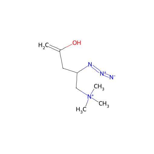 C=C(O)CC(C[N+](C)(C)C)N=[N+]=[N-]